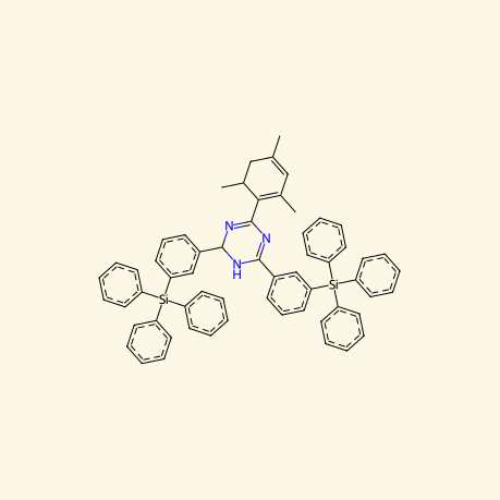 CC1=CC(C)=C(C2=NC(c3cccc([Si](c4ccccc4)(c4ccccc4)c4ccccc4)c3)NC(c3cccc([Si](c4ccccc4)(c4ccccc4)c4ccccc4)c3)=N2)C(C)C1